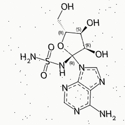 Nc1ncnc2c1ncn2[C@]1(NS(N)(=O)=O)O[C@H](CO)[C@@H](O)[C@H]1O